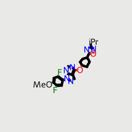 COc1cc(F)c(-n2ncc3c(OC4CCC(c5nc(C(C)C)no5)CC4)ncnc32)cc1F